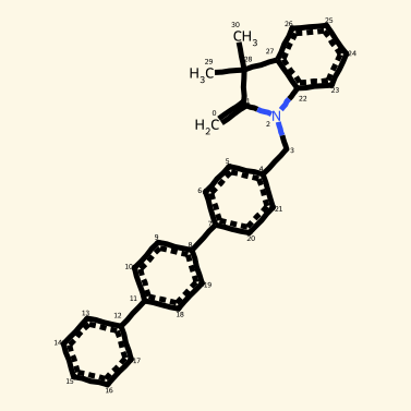 C=C1N(Cc2ccc(-c3ccc(-c4ccccc4)cc3)cc2)c2ccccc2C1(C)C